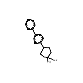 CCCC1(C#N)CCC(c2ccc(-c3ccccc3)cc2)CC1